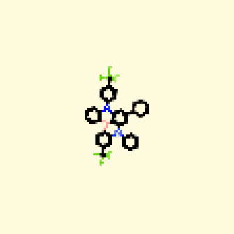 FC(F)(F)c1ccc(N2c3ccccc3B3c4ccc(C(F)(F)F)cc4N(c4ccccc4)c4cc(C5CCCCC5)cc2c43)cc1